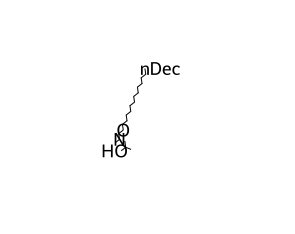 CCCCCCCCCCCCCCCCCCCCCCOCN(C)CC(C)O